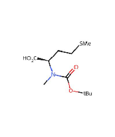 CSCC[C@H](C(=O)O)N(C)C(=O)OC(C)(C)C